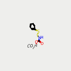 O=C(O)OC(=O)NSSc1ccccc1